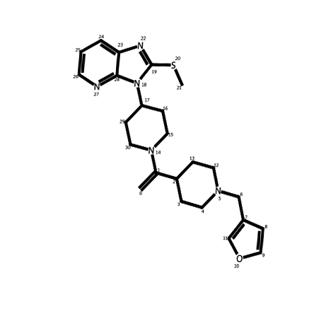 C=C(C1CCN(Cc2ccoc2)CC1)N1CCC(n2c(SC)nc3cccnc32)CC1